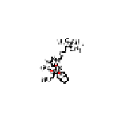 CC(C)(C)OC(=O)N1CC2CCC(C1)N2c1nc2c(nc1CO)c(I)nn2COCC[Si](C)(C)C